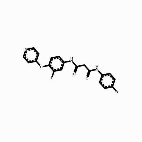 O=C(CC(=O)Nc1ccc(Oc2ccncc2)c(F)c1)Nc1ccc(F)cc1